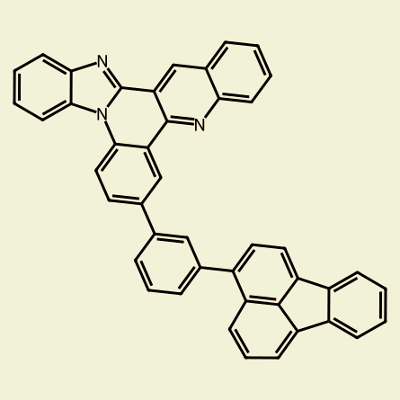 c1cc(-c2ccc3c(c2)c2nc4ccccc4cc2c2nc4ccccc4n32)cc(-c2ccc3c4c(cccc24)-c2ccccc2-3)c1